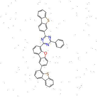 c1ccc(-c2nc(-c3ccc4c(c3)sc3ccccc34)nc(-c3cccc4c3oc3ccc(-c5cccc6c5sc5ccccc56)cc34)n2)cc1